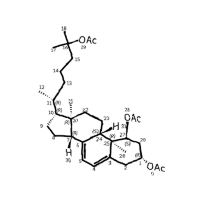 CC(=O)O[C@@H]1CC2=CC=C3[C@@H]4CC[C@H]([C@H](C)CCCC(C)(C)OC(C)=O)[C@@]4(C)CC[C@@H]3[C@@]2(C)[C@@H](OC(C)=O)C1